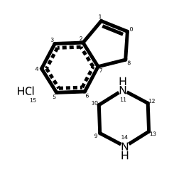 C1=Cc2ccccc2C1.C1CNCCN1.Cl